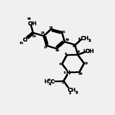 CC(C)N1CCC(O)(C(C)c2ccc(C(=O)O)cc2)CC1